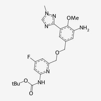 COc1c(N)cc(COCc2cc(F)cc(NC(=O)OC(C)(C)C)n2)cc1-c1ncn(C)n1